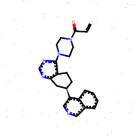 C=CC(=O)N1CCN(c2ncnc3c2CC[C@@H](c2cncc4ccccc24)C3)CC1